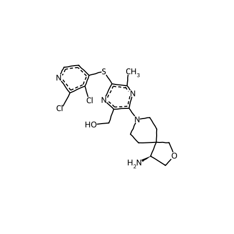 Cc1nc(N2CCC3(CC2)COC[C@H]3N)c(CO)nc1Sc1ccnc(Cl)c1Cl